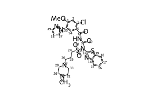 COc1cc(Cl)c(C(=O)NC(=O)N(c2nc3ccccc3s2)S(=O)(=O)CCCN2CCN(C)CC2)cc1-n1cccn1